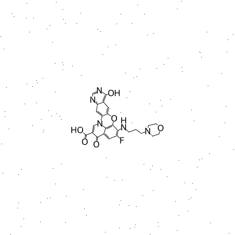 O=C(O)c1cn2c3c(c(NCCCN4CCOCC4)c(F)cc3c1=O)Oc1cc3c(O)ncnc3cc1-2